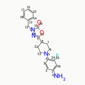 Nc1ccc(N2CCC(c3nn(Cc4ccccc4)c(=O)o3)CC2)c(F)c1